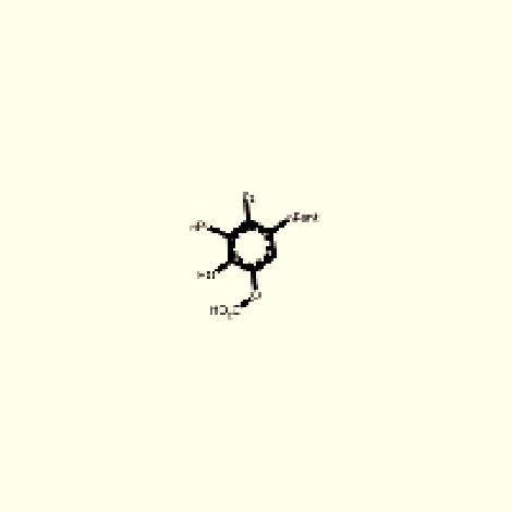 CCCCCc1cc(OC(=O)O)c(O)c(CCC)c1CC